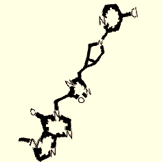 Cn1cnc2ncn(Cc3nc(C4C5CN(c6cc(Cl)ccn6)CC54)no3)c(=O)c21